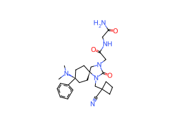 CN(C)[C@]1(c2ccccc2)CC[C@@]2(CC1)CN(CC(=O)NCC(N)=O)C(=O)N2CC1(C#N)CCC1